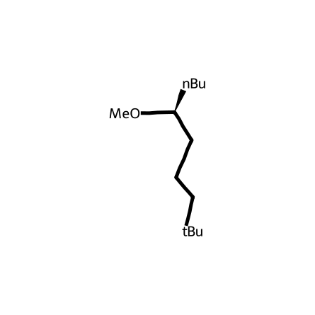 CCCC[C@@H](CCCC(C)(C)C)OC